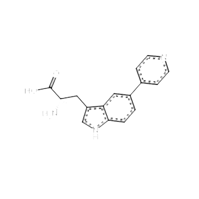 N[C@@H](Cc1c[nH]c2ccc(-c3ccncc3)cc12)C(=O)O